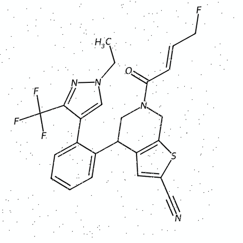 CCn1cc(-c2ccccc2C2CN(C(=O)/C=C/CF)Cc3sc(C#N)cc32)c(C(F)(F)F)n1